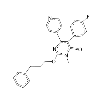 Cn1c(OCCCc2ccccc2)nc(-c2ccncc2)c(-c2ccc(F)cc2)c1=O